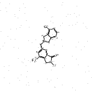 CCN1Cc2c(cc(CN3Cc4cccc(Cl)c4C3)cc2C(F)(F)F)C1=O